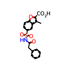 Cc1c(C(=O)O)oc2ccc(S(=O)(=O)NC(=O)Cc3ccccc3)cc12